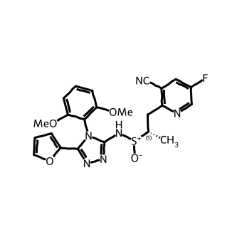 COc1cccc(OC)c1-n1c(N[S+]([O-])[C@@H](C)Cc2ncc(F)cc2C#N)nnc1-c1ccco1